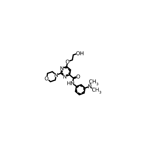 CN(C)c1cccc(NC(=O)c2cc(OCCO)nc(N3CCOCC3)n2)c1